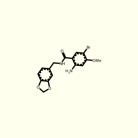 COc1cc(N)c(C(=O)NCc2ccc3c(c2)OCO3)cc1Br